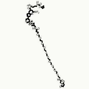 CCCN(CCCNC(=O)OC1CCC1)C(=O)C1=Cc2ccc(-c3cncc(S(=O)(=O)N4CC(CNC(=O)CCOCCOCCOCCOCCOCCOCCOCCOCCOCCOCCNC(=O)CN5C(=O)C=CC5=O)C4)c3)cc2N=C(N)C1